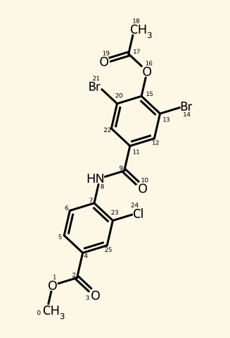 COC(=O)c1ccc(NC(=O)c2cc(Br)c(OC(C)=O)c(Br)c2)c(Cl)c1